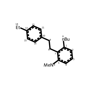 CCCCc1cccc(NC)c1CCc1ccc(CC)cc1